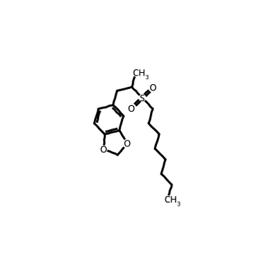 CCCCCCCCS(=O)(=O)C(C)Cc1ccc2c(c1)OCO2